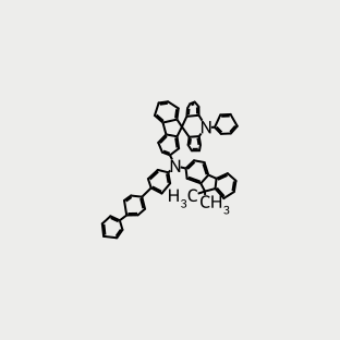 CC1(C)c2ccccc2-c2ccc(N(c3ccc(-c4ccc(-c5ccccc5)cc4)cc3)c3ccc4c(c3)C3(c5ccccc5-4)c4ccccc4N(c4ccccc4)c4ccccc43)cc21